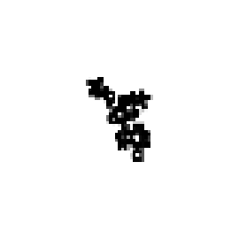 CC(C)(C)[Si](C)(C)OC[C@H]1O[C@@H](n2cnc3c(Cl)ncnc32)[C@H](F)C1O[Si](C)(C)C(C)(C)C